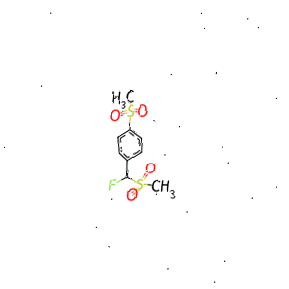 CS(=O)(=O)c1ccc(C(F)S(C)(=O)=O)cc1